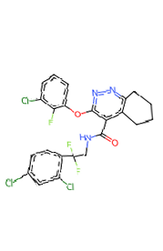 O=C(NCC(F)(F)c1ccc(Cl)cc1Cl)c1c(Oc2cccc(Cl)c2F)nnc2c1CCCC2